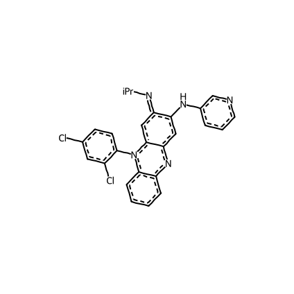 CC(C)/N=c1\cc2n(-c3ccc(Cl)cc3Cl)c3ccccc3nc-2cc1Nc1cccnc1